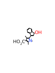 Cc1c(C(=O)O)c(C)n(C)c1C1=CC(O)c2ccccc21